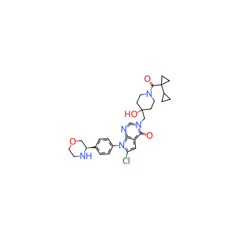 O=C(N1CCC(O)(Cn2cnc3c(cc(Cl)n3-c3ccc([C@@H]4COCCN4)cc3)c2=O)CC1)C1(C2CC2)CC1